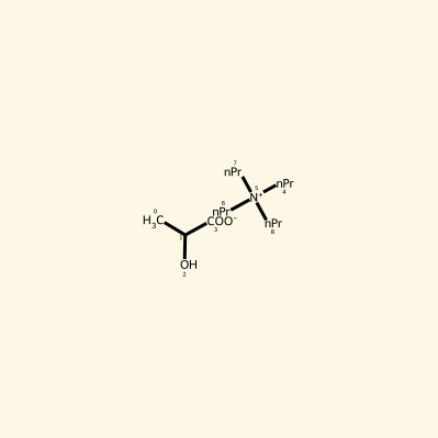 CC(O)C(=O)[O-].CCC[N+](CCC)(CCC)CCC